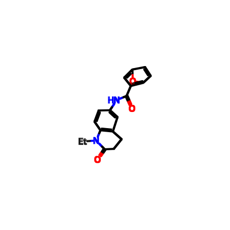 CCN1C(=O)CCc2cc(NC(=O)c3cc4ccc3o4)ccc21